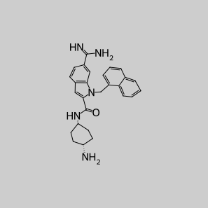 N=C(N)c1ccc2cc(C(=O)N[C@H]3CC[C@@H](N)CC3)n(Cc3cccc4ccccc34)c2c1